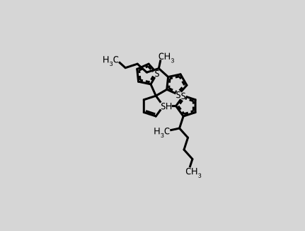 CCCCC(C)c1ccsc1[SH]1C=CCC1(c1cccs1)c1sccc1C(C)CCCC